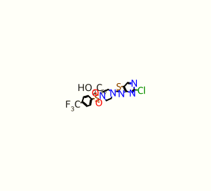 O=C(O)[C@H]1CN(c2nc3nc(Cl)ncc3s2)CCN1S(=O)(=O)c1ccc(C(F)(F)F)cc1